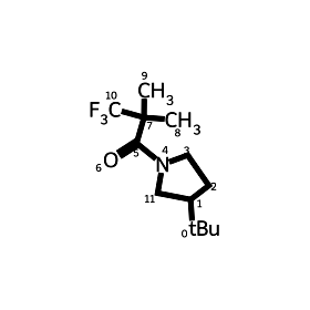 CC(C)(C)C1CCN(C(=O)C(C)(C)C(F)(F)F)C1